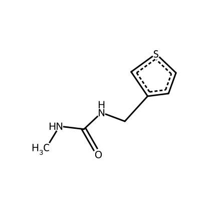 CNC(=O)NCc1ccsc1